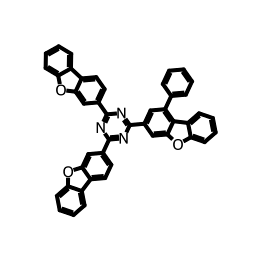 c1ccc(-c2cc(-c3nc(-c4ccc5c(c4)oc4ccccc45)nc(-c4ccc5c(c4)oc4ccccc45)n3)cc3oc4ccccc4c23)cc1